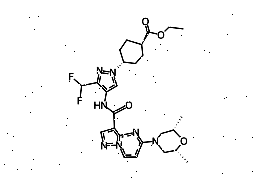 CCOC(=O)[C@H]1CC[C@H](n2cc(NC(=O)c3cnn4ccc(N5C[C@@H](C)O[C@@H](C)C5)nc34)c(C(F)F)n2)CC1